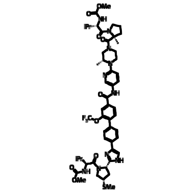 COC(=O)N[C@H](C(=O)N1C[C@@H](SC)C[C@H]1c1nc(-c2ccc(-c3ccc(C(=O)Nc4ccc(N5CCN(C(=O)[C@]6(C)CCCN6C(=O)[C@@H](NC(=O)OC)C(C)C)C[C@H]5C)nc4)cc3OC(F)(F)F)cc2)c[nH]1)C(C)C